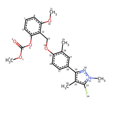 COC(=O)Oc1cccc(OC)c1COc1ccc(-c2nn(C)c(F)c2C)cc1C